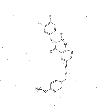 COc1ccc(CC#Cc2ccc3c(c2)C(=O)/C(=C/c2ccc(F)c(Cl)c2)[S+]([O-])N3)cn1